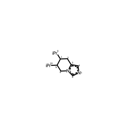 CC(C)C1Cc2cncn2CC1C(C)C